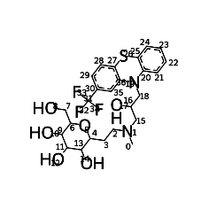 CN(CCC1OC(CO)C(O)C(O)C1O)CC(O)CN1c2ccccc2Sc2ccc(C(F)(F)F)cc21